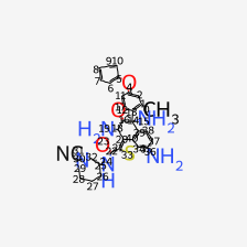 Cc1cc(Oc2ccccc2)ccc1C1(N)C(=O)C(N)c2c(C(=O)NC3CCCCN(C#N)C3)sc3c(N)ccc1c23